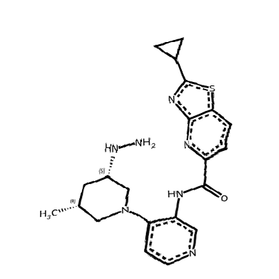 C[C@@H]1C[C@H](NN)CN(c2ccncc2NC(=O)c2ccc3sc(C4CC4)nc3n2)C1